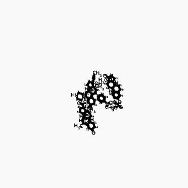 C1CNCCN1.CC#C[C@]1(O)CC[C@H]2[C@@H]3CCC4=CC(=O)CCC4=C3[C@@H](c3ccc(N(C)C)cc3)C[C@@]21C.CC(=O)[C@@]1(O)CC[C@H]2[C@@H]3C[C@H](C)C4=CC(=O)CC[C@]4(C)[C@H]3CC[C@@]21C.C[C@]12CC[C@@H]3c4ccc(OS(=O)(=O)O)cc4CC[C@H]3[C@@H]1CCC2=O